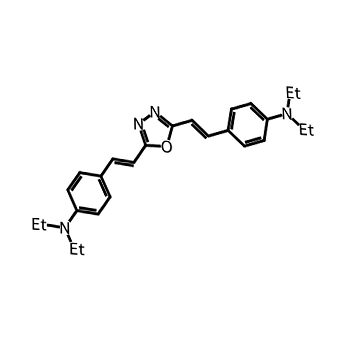 CCN(CC)c1ccc(C=Cc2nnc(C=Cc3ccc(N(CC)CC)cc3)o2)cc1